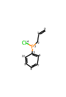 C=CCP(Cl)c1ccccc1